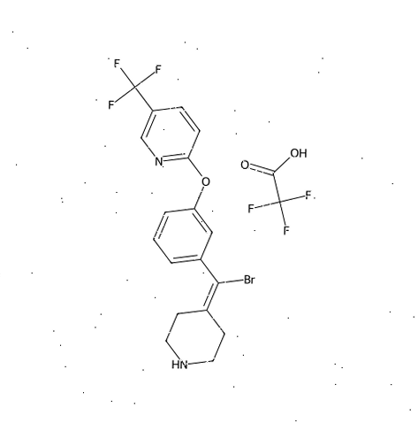 FC(F)(F)c1ccc(Oc2cccc(C(Br)=C3CCNCC3)c2)nc1.O=C(O)C(F)(F)F